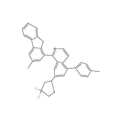 Cc1ccc(-c2cc(C3CCC(F)(F)C3)cc3c(-c4cc(C)cc5c4Cc4ccccc4-5)nccc23)cc1